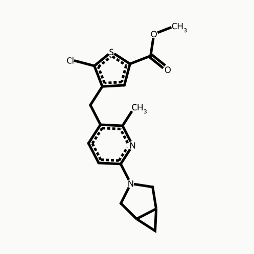 COC(=O)c1cc(Cc2ccc(N3CC4CC4C3)nc2C)c(Cl)s1